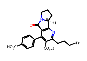 CCOC(=O)c1c(CCCC(C)C)nc2c(c1-c1ccc(C(=O)O)cc1)C(=O)N1CCC[C@@H]21